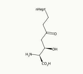 CCCCCCCCCC(=O)C[C@@H](O)[C@H](N)C(=O)O